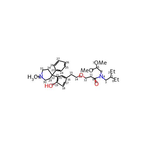 CCC(CC)CN(CC(OC)OC)C(=O)CCOCCc1ccc(O)c(C2(c3ccccc3)CCN(C)CC2)c1